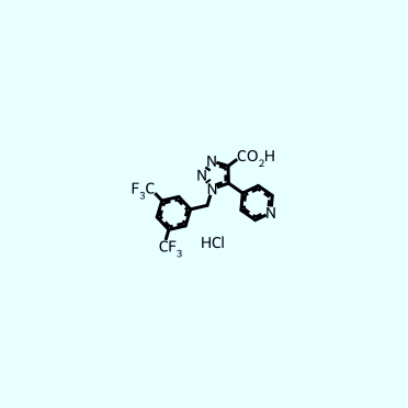 Cl.O=C(O)c1nnn(Cc2cc(C(F)(F)F)cc(C(F)(F)F)c2)c1-c1ccncc1